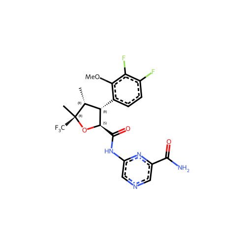 COc1c([C@@H]2[C@@H](C(=O)Nc3cncc(C(N)=O)n3)O[C@@](C)(C(F)(F)F)[C@@H]2C)ccc(F)c1F